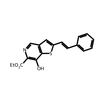 CCOC(=O)c1ncc2cc(C=Cc3ccccc3)sc2c1O